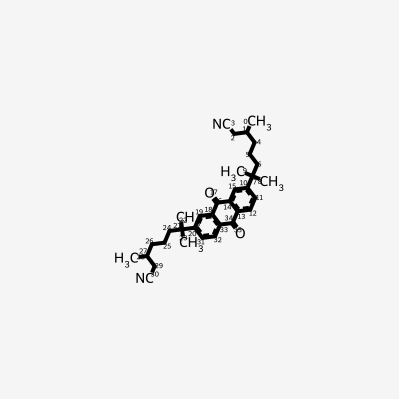 CC(CC#N)CCCC(C)(C)c1ccc2c(c1)C(=O)c1cc(C(C)(C)CCCC(C)CC#N)ccc1C2=O